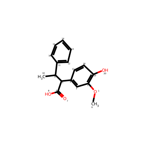 COc1cc(C(C(=O)O)C(C)c2ccccc2)ccc1O